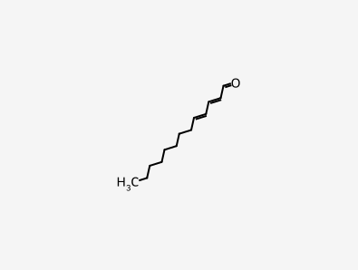 CCCCCCCC/C=C/C=C/C=O